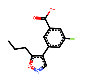 CCCc1oncc1-c1cc(F)cc(C(=O)O)c1